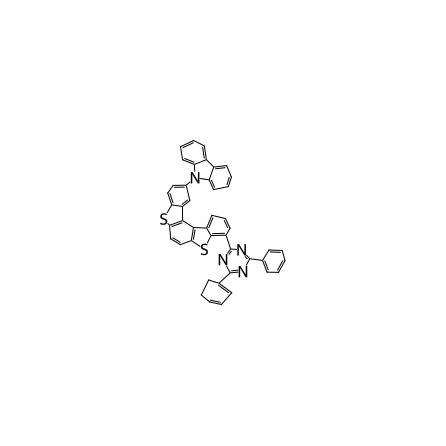 C1=CCCC(c2nc(-c3ccccc3)nc(-c3cccc4c3sc3ccc5sc6ccc(-n7c8ccccc8c8ccccc87)cc6c5c34)n2)=C1